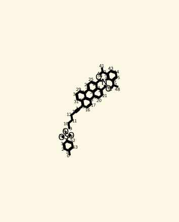 Cc1ccc(S(=O)(=O)OCCCCC#Cc2ccc3c4ccc5c6c(ccc(c7cccc2c73)c64)C(=O)N(c2c(C(C)C)cccc2C(C)C)C5=O)cc1